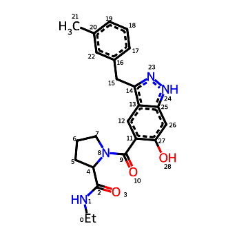 CCNC(=O)C1CCCN1C(=O)c1cc2c(Cc3cccc(C)c3)n[nH]c2cc1O